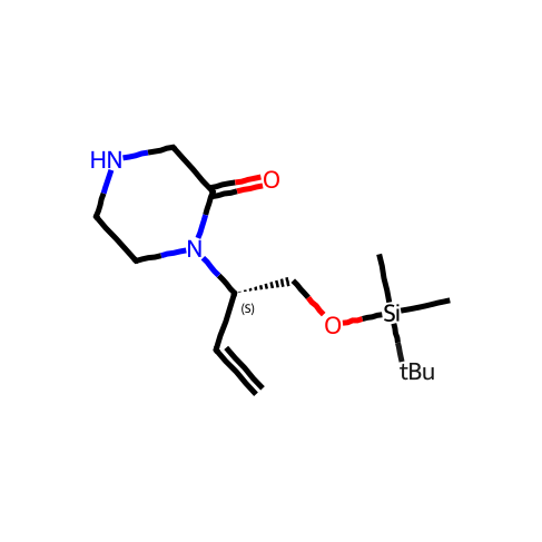 C=C[C@@H](CO[Si](C)(C)C(C)(C)C)N1CCNCC1=O